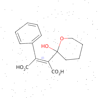 O=C(O)/C(=C(\C(=O)O)C1(O)CCCCO1)c1ccccc1